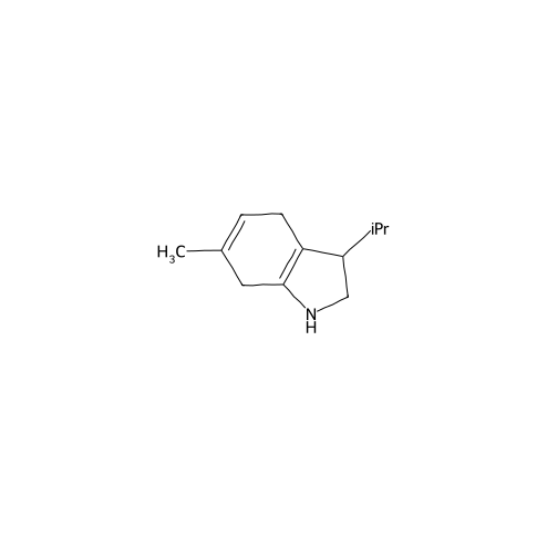 CC1=CCC2=C(C1)NCC2C(C)C